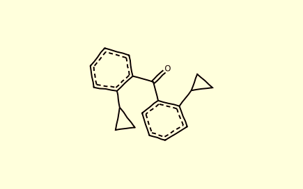 O=C(c1ccccc1C1CC1)c1ccccc1C1CC1